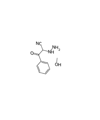 CO.N#CC(NN)C(=O)c1ccccc1